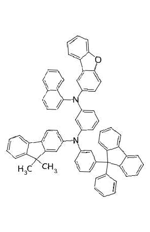 CC1(C)c2ccccc2-c2ccc(N(c3cccc(N(c4ccc5oc6ccccc6c5c4)c4cccc5ccccc45)c3)c3cccc(C4(c5ccccc5)c5ccccc5-c5ccccc54)c3)cc21